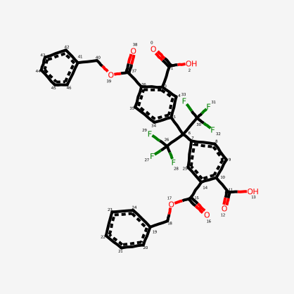 O=C(O)c1cc(C(c2ccc(C(=O)O)c(C(=O)OCc3ccccc3)c2)(C(F)(F)F)C(F)(F)F)ccc1C(=O)OCc1ccccc1